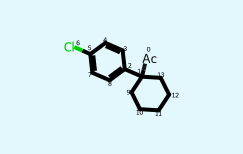 CC(=O)C1(c2ccc(Cl)cc2)CCCCC1